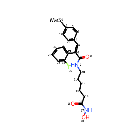 CSc1ccc(C=C(C(=O)NCCCCCC(=O)NO)c2ccccc2F)cc1